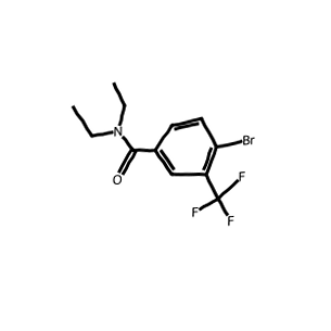 CCN(CC)C(=O)c1ccc(Br)c(C(F)(F)F)c1